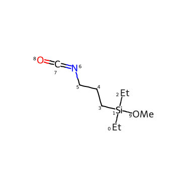 CC[Si](CC)(CCCN=C=O)OC